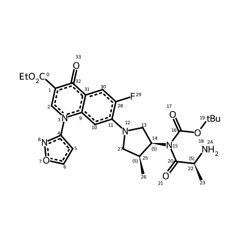 CCOC(=O)c1cn(-c2ccon2)c2cc(N3C[C@@H](N(C(=O)OC(C)(C)C)C(=O)[C@H](C)N)[C@@H](C)C3)c(F)cc2c1=O